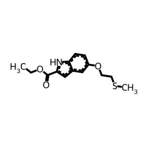 CCOC(=O)c1cc2cc(OCCSC)ccc2[nH]1